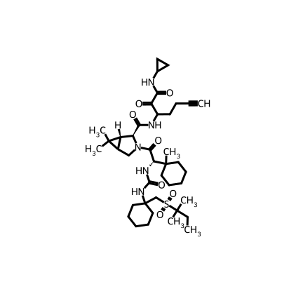 C#CCCC(NC(=O)[C@@H]1[C@@H]2C(CN1C(=O)[C@@H](NC(=O)NC1(CS(=O)(=O)C(C)(C)CC)CCCCC1)C1(C)CCCCC1)C2(C)C)C(=O)C(=O)NC1CC1